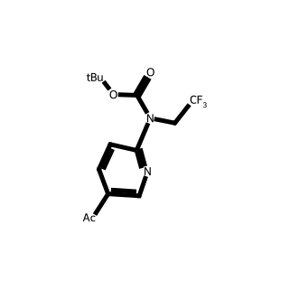 CC(=O)c1ccc(N(CC(F)(F)F)C(=O)OC(C)(C)C)nc1